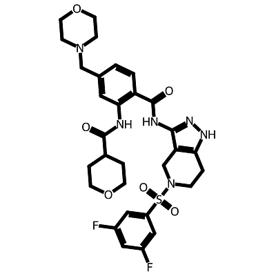 O=C(Nc1n[nH]c2c1CN(S(=O)(=O)c1cc(F)cc(F)c1)CC2)c1ccc(CN2CCOCC2)cc1NC(=O)C1CCOCC1